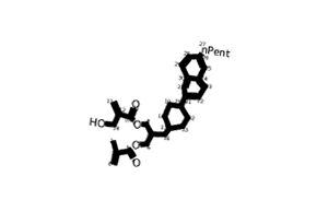 C=C(C)C(=O)OCC(COC(=O)C(=C)CO)CC1CCC(c2ccc3cc(CCCCC)ccc3c2)CC1